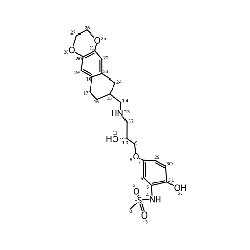 CS(=O)(=O)Nc1cc(OC[C@H](O)CNCC2CCc3cc4c(cc3C2)OCCO4)ccc1O